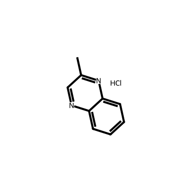 Cc1cnc2ccccc2n1.Cl